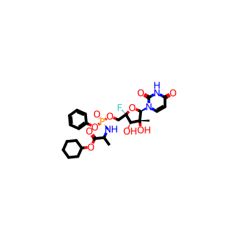 CC(N[P@@](=O)(OC[C@@]1(F)O[C@@H](n2ccc(=O)[nH]c2=O)[C@](C)(O)[C@@H]1O)Oc1ccccc1)C(=O)OC1CCCCC1